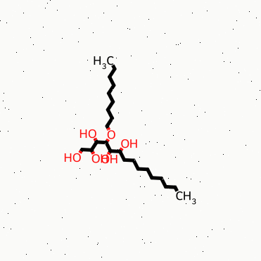 CCCCCCCCCOC(C(O)C(O)CO)C(O)C(O)CCCCCCCCC